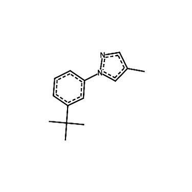 Cc1cnn(-c2cccc(C(C)(C)C)c2)c1